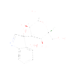 OC[C@@]1(Cl)O[C@@H](O)[C@H](O)[C@](O)(C2(O)C=Nc3ccccc32)[C@@H]1O